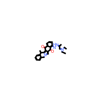 CCN(CC)CC(C)=NNc1cccc2c1C(=O)c1cn3c(c1C2=O)C(C)c1ccccc1C3